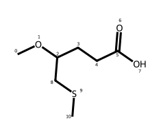 COC(CCC(=O)O)CSC